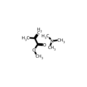 C=C(C)C(=O)OC.CN(C)C